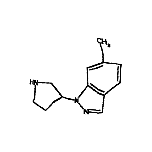 Cc1ccc2cnn(C3CCNC3)c2c1